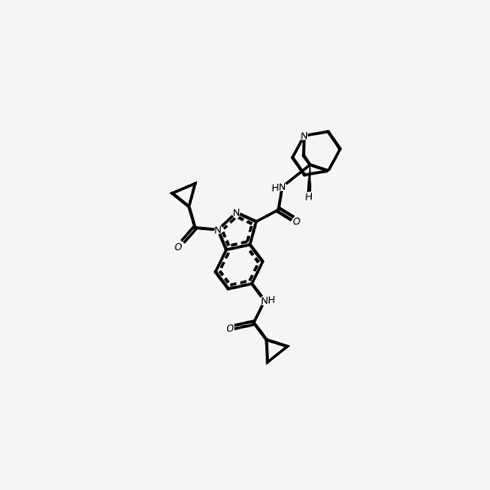 O=C(N[C@@H]1CN2CCC1CC2)c1nn(C(=O)C2CC2)c2ccc(NC(=O)C3CC3)cc12